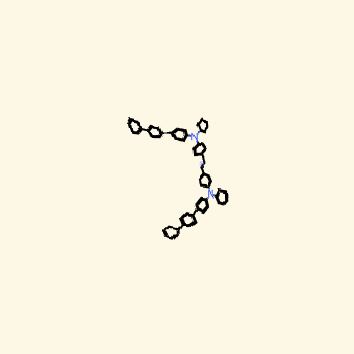 C1=CCC(c2ccc(-c3ccc(N(c4ccccc4)c4ccc(/C=C/c5ccc(N(c6ccccc6)c6ccc(-c7ccc(-c8ccccc8)cc7)cc6)cc5)cc4)cc3)cc2)C=C1